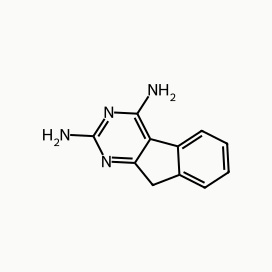 Nc1nc(N)c2c(n1)Cc1ccccc1-2